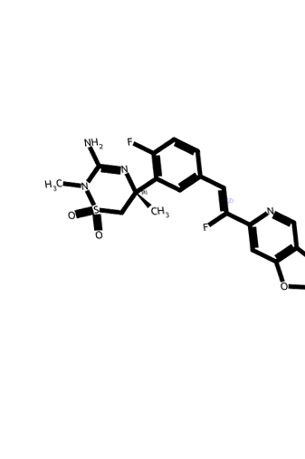 CN1C(N)=N[C@](C)(c2cc(/C=C(\F)c3cc4c(cn3)OCO4)ccc2F)CS1(=O)=O